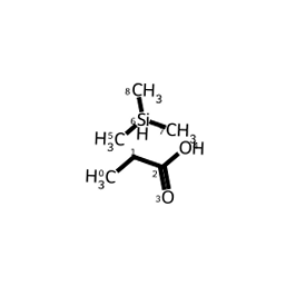 CCC(=O)O.C[SiH](C)C